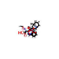 CCO/N=C(\C(=O)O)c1nc2ccccc2n([C@@H]2CC3CCC[C@H](C2)N3[C@@H]2C[C@@H]3CCCC[C@@H](C3)C2)c1=O